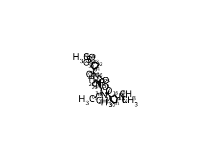 CC(C)C[C@H](NC(=O)c1cccc(N(C)C)c1)C(=O)N1CC[C@@H]2[C@H]1C(=O)CN2C(=O)c1cccc(S(C)(=O)=O)c1